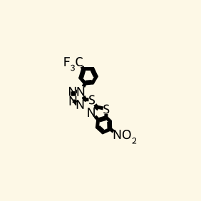 O=[N+]([O-])c1ccc2nc(Sc3nnnn3-c3cccc(C(F)(F)F)c3)sc2c1